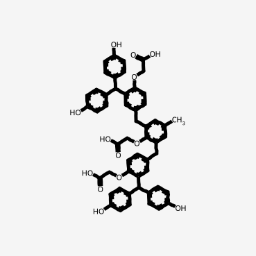 Cc1cc(Cc2ccc(OCC(=O)O)c(C(c3ccc(O)cc3)c3ccc(O)cc3)c2)c(OCC(=O)O)c(Cc2ccc(OCC(=O)O)c(C(c3ccc(O)cc3)c3ccc(O)cc3)c2)c1